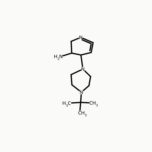 CC(C)(C)N1CCN(C2C=C=NCC2N)CC1